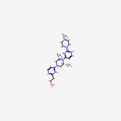 C[C@@H]1CN(c2ccnc(CCO)n2)C[C@H](C)N1c1ccnc(N2CCN(C)CC2)n1